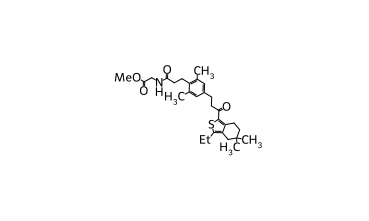 CCc1sc(C(=O)CCc2cc(C)c(CCC(=O)NCC(=O)OC)c(C)c2)c2c1CC(C)(C)CC2